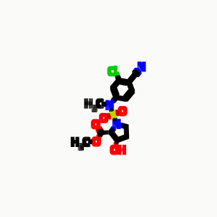 COC(=O)[C@@H]1[C@H](O)CCN1S(=O)(=O)N(C)c1ccc(C#N)c(Cl)c1